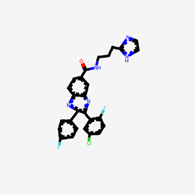 O=C(NCCCc1ncc[nH]1)c1ccc2nc(-c3ccc(F)cc3)c(-c3cc(Cl)ccc3F)nc2c1